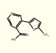 Cc1ccc(-c2cnccc2C(=O)O)o1